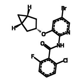 O=C(Nc1ncc(Br)cc1O[C@@H]1C[C@@H]2C[C@@H]2C1)c1c(F)cccc1Cl